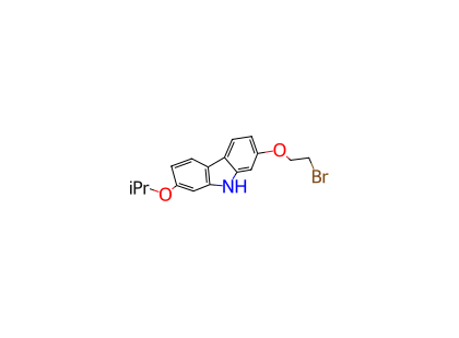 CC(C)Oc1ccc2c(c1)[nH]c1cc(OCCBr)ccc12